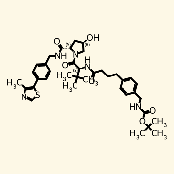 Cc1ncsc1-c1ccc(CNC(=O)[C@@H]2C[C@@H](O)CN2C(=O)[C@@H](NC(=O)CCCc2ccc(CNC(=O)OC(C)(C)C)cc2)C(C)(C)C)cc1